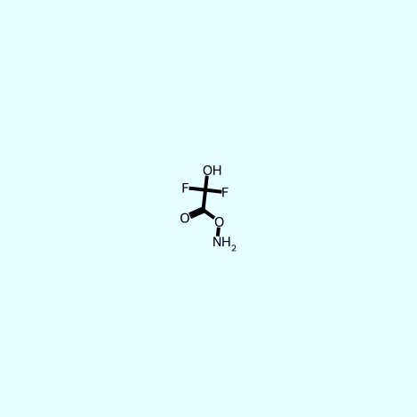 NOC(=O)C(O)(F)F